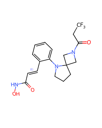 O=C(/C=C/c1ccccc1N1CCCC12CN(C(=O)CC(F)(F)F)C2)NO